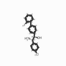 N[C@@H](c1ccc(Cl)cc1)[C@H](O)c1ccc(-c2ccccc2F)cc1